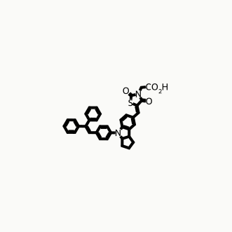 O=C(O)CN1C(=O)S/C(=C\c2ccc3c(c2)C2CCCC2N3c2ccc(C=C(c3ccccc3)c3ccccc3)cc2)C1=O